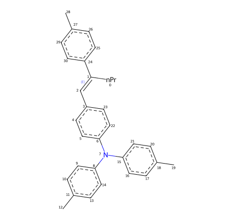 CCC/C(=C\c1ccc(N(c2ccc(C)cc2)c2ccc(C)cc2)cc1)c1ccc(C)cc1